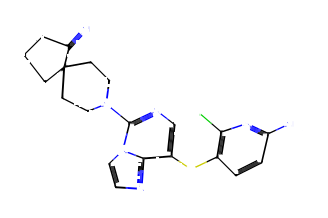 N=C1CCCC12CCN(c1ncc(Sc3ccc(N)nc3Cl)c3nccn13)CC2